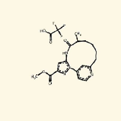 COC(=O)c1cc2n(n1)-c1ccnc(c1)CCCCC(C)C(=O)N2.O=C(O)C(F)(F)F